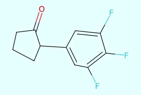 O=C1CCCC1c1cc(F)c(F)c(F)c1